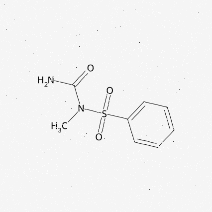 CN(C(N)=O)S(=O)(=O)c1ccccc1